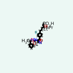 CCCOC(CC)(CCCc1ccc(-c2onc(C)c2NC(=O)O[C@H](C)c2ccccc2)cc1F)CC(=O)O